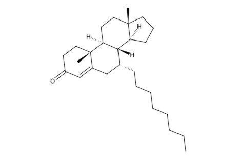 CCCCCCCC[C@@H]1CC2=CC(=O)CC[C@]2(C)[C@H]2CC[C@]3(C)CCC[C@H]3[C@H]12